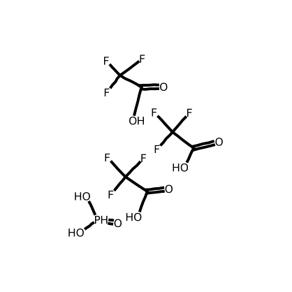 O=C(O)C(F)(F)F.O=C(O)C(F)(F)F.O=C(O)C(F)(F)F.O=[PH](O)O